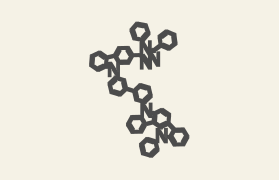 c1ccc(-c2nnc(-c3ccc4c5ccccc5n(-c5cccc(-c6cccc(-n7c8ccccc8c8c7ccc7c9ccccc9n(-c9ccccc9)c78)c6)c5)c4c3)n2-c2ccccc2)cc1